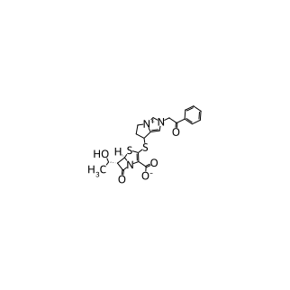 CC(O)[C@H]1C(=O)N2C(C(=O)[O-])=C(SC3CC[n+]4cn(CC(=O)c5ccccc5)cc43)S[C@H]12